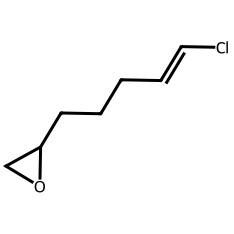 Cl/C=C/CCCC1CO1